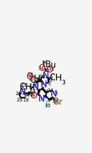 C[C@@H]1CN2c3c4c(nc5c(F)c(Br)ncc35)O[C@@H]([C@@H]3CCCN3C)CN4C(=C=O)[C@H]2CN1C(=O)OC(C)(C)C